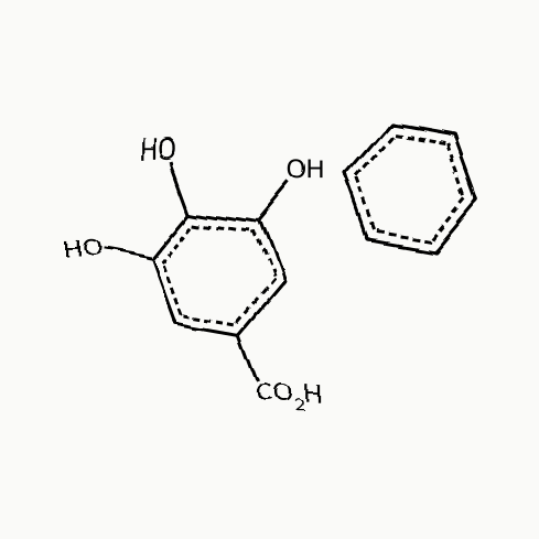 O=C(O)c1cc(O)c(O)c(O)c1.c1ccccc1